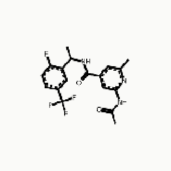 CC(=O)Nc1cc(C(=O)NC(C)c2cc(C(F)(F)F)ccc2F)cc(C)n1